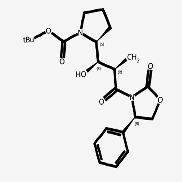 C[C@@H](C(=O)N1C(=O)OC[C@H]1c1ccccc1)[C@@H](O)[C@@H]1CCCN1C(=O)OC(C)(C)C